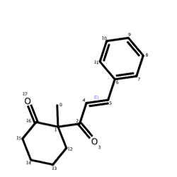 CC1(C(=O)/C=C/c2ccccc2)CCCCC1=O